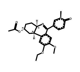 CCOc1cc2c(cc1OC)C(c1ccc(=O)n(C)c1)=N[C@@H]1CC[C@@H](OC(C)=O)C[C@H]21